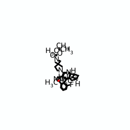 CC(O)c1cccc(F)c1-c1c(C#N)c(N2CCC3(CN(C(=O)OC(C)(C)C)C3)C2)nc2c1C[C@H]1C[C@@H]2C1(C)C